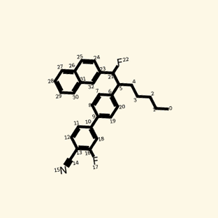 CCCCCC(c1ccc(-c2ccc(C#N)c(F)c2)cc1)C(F)c1ccc2ccccc2c1